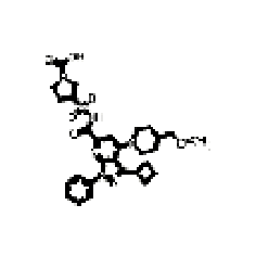 COCC1CCN(c2cc(C(=O)NS(=O)(=O)C3CCN(C(=O)O)C3)nc3c2c(C2CCC2)nn3-c2ccccc2)CC1